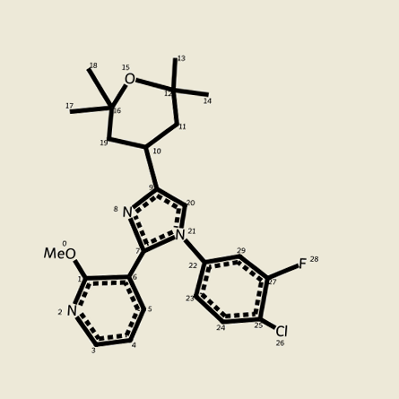 COc1ncccc1-c1nc(C2CC(C)(C)OC(C)(C)C2)cn1-c1ccc(Cl)c(F)c1